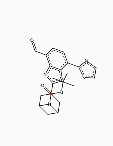 CC(C)(C)OC(=O)N1C2CC1CN(c1nc3c(C=O)ccc(-c4nccs4)c3o1)C2